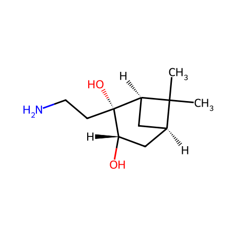 CC1(C)[C@@H]2C[C@H]1[C@](O)(CCN)[C@@H](O)C2